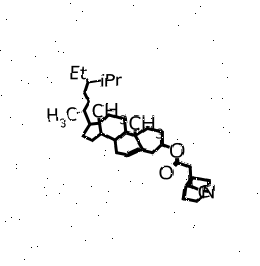 CC[C@H](CC[C@@H](C)C1CCC2C3CC=C4CC(OC(=O)CC5CN6CCC5CC6)CCC4(C)C3CCC21C)C(C)C